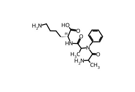 CC(N)C(=O)N(c1ccccc1)C(C)C(=O)N[C@H](CCCCN)C(=O)O